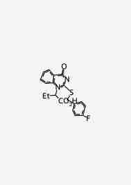 CCC(C(=O)O)n1c(SCc2ccc(F)cc2)nc(=O)c2ccccc21